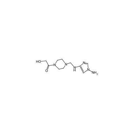 Nn1cnc(NCN2CCN(C(=O)CO)CC2)c1